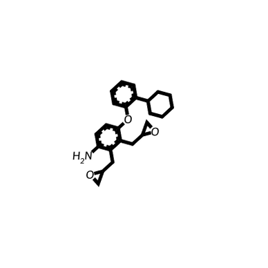 Nc1ccc(Oc2ccccc2C2CCCCC2)c(CC2CO2)c1CC1CO1